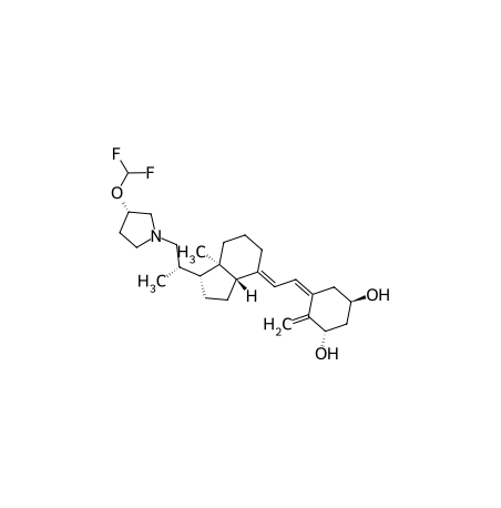 C=C1/C(=C\C=C2/CCC[C@]3(C)[C@@H]([C@H](C)CN4CC[C@H](OC(F)F)C4)CC[C@@H]23)C[C@@H](O)C[C@@H]1O